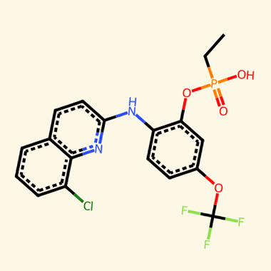 CCP(=O)(O)Oc1cc(OC(F)(F)F)ccc1Nc1ccc2cccc(Cl)c2n1